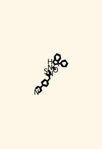 C[C@]1(c2ccccc2)c2ccccc2C[C@@H]1C(=O)Nc1nc(Cc2ccc(-c3ccncc3)cc2)cs1